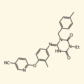 CCn1c(=O)[nH]/c(=N\c2ccc(Oc3ccc(C#N)cn3)c(C)c2)n(Cc2ccc(C)cc2)c1=O